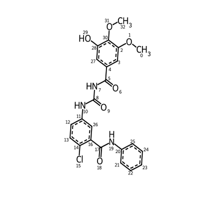 COc1cc(C(=O)NC(=O)Nc2ccc(Cl)c(C(=O)Nc3ccccc3)c2)cc(O)c1OC